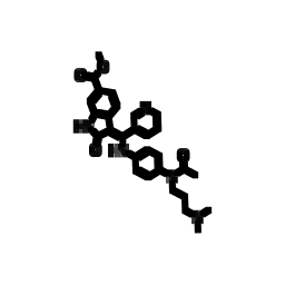 COC(=O)c1ccc2c(c1)NC(=O)/C2=C(\Nc1ccc(N(CCCN(C)C)C(C)=O)cc1)c1cccnc1